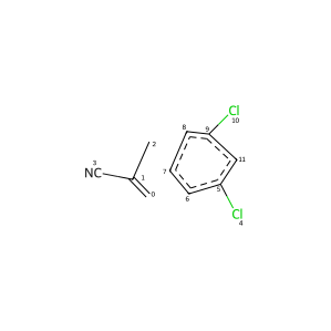 C=C(C)C#N.Clc1cccc(Cl)c1